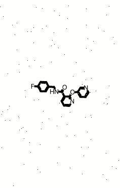 O=C(NCc1ccc(F)cc1)c1cccnc1Oc1cccnc1